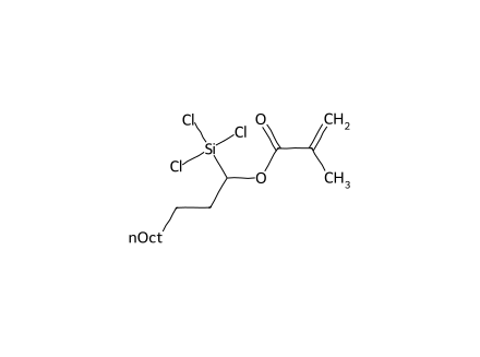 C=C(C)C(=O)OC(CCCCCCCCCC)[Si](Cl)(Cl)Cl